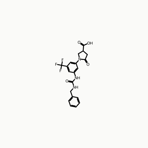 O=C(NCc1ccccc1)Nc1cc(N2CC(C(=O)O)CC2=O)cc(C(F)(F)F)c1